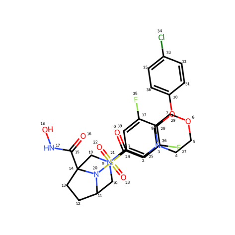 O=C(CN1CCOCC1)N1CC2CCC(C(=O)NO)(C1)N2S(=O)(=O)c1cc(F)c(Oc2ccc(Cl)cc2)c(F)c1